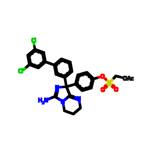 CC(=O)OCS(=O)(=O)Oc1ccc(C2(c3cccc(-c4cc(Cl)cc(Cl)c4)c3)N=C(N)N3CCCN=C32)cc1